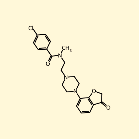 CN(CCN1CCN(c2cccc3c2OCC3=O)CC1)C(=O)c1ccc(Cl)cc1